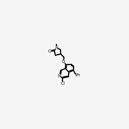 CC(C)c1ccc(OCC2CC(=O)N(C)C2)c2cnc(Cl)cc12